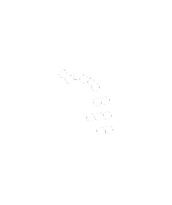 c1ccc2c(-c3c4ccccc4c(-c4ccc(-c5ccc6oc7cc8oc9c%10ccccc%10ccc9c8cc7c6c5)c5ccccc45)c4ccccc34)cccc2c1